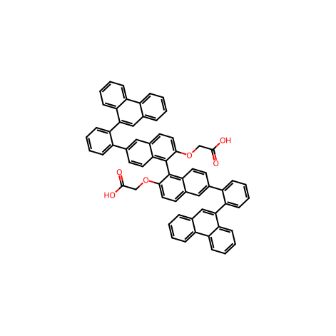 O=C(O)COc1ccc2cc(-c3ccccc3-c3cc4ccccc4c4ccccc34)ccc2c1-c1c(OCC(=O)O)ccc2cc(-c3ccccc3-c3cc4ccccc4c4ccccc34)ccc12